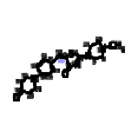 CN1CCN(C2=NC(=O)/C(=C\c3ccc(N4CCC(=O)CC4)cc3)S2)CC1